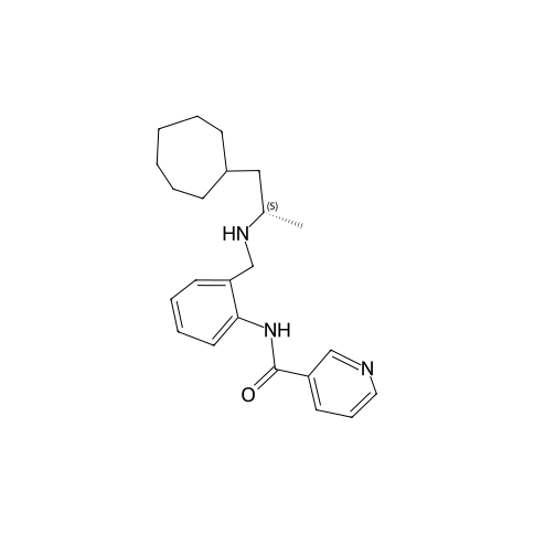 C[C@@H](CC1CCCCCC1)NCc1ccccc1NC(=O)c1cccnc1